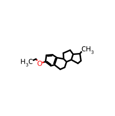 CCOc1ccc2c(c1)CCC1C2CCC2C(C)CCC21